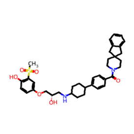 CS(=O)(=O)c1cc(OC[C@@H](O)CNC2CCC(c3ccc(C(=O)N4CCC5(CC4)Cc4ccccc4C5)cc3)CC2)ccc1O